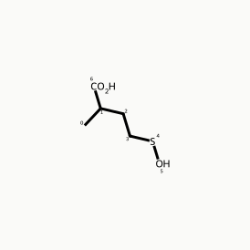 CC(CCSO)C(=O)O